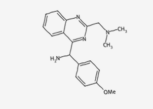 COc1ccc(C(N)c2nc(CN(C)C)nc3ccccc23)cc1